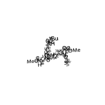 COC(=O)Nc1ccc(NC(=O)[C@H](Cc2ccc(-c3cc4c(cc3C)c(=O)c(C(=O)OC)cn4COCC[Si](C)(C)C)cc2)NC(=O)[C@H]2CC[C@H](CNC(=O)OC(C)(C)C)CC2)cc1F